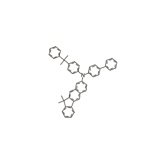 CC(C)(c1ccccc1)c1ccc(N(c2ccc(-c3ccccc3)cc2)c2ccc3cc4c(cc3c2)C(C)(C)c2ccccc2-4)cc1